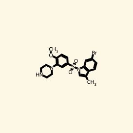 COc1ccc(S(=O)(=O)n2cc(C)c3ccc(Br)cc32)cc1N1CCNCC1